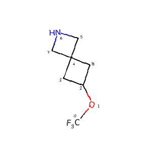 FC(F)(F)OC1CC2(CNC2)C1